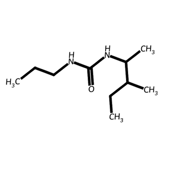 CCCNC(=O)NC(C)C(C)CC